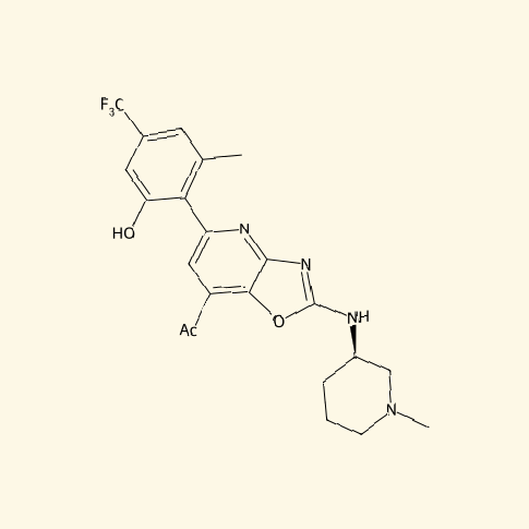 CC(=O)c1cc(-c2c(C)cc(C(F)(F)F)cc2O)nc2nc(N[C@@H]3CCCN(C)C3)oc12